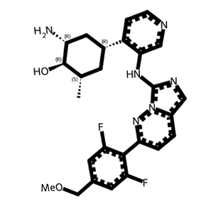 COCc1cc(F)c(-c2ccc3cnc(Nc4cnccc4[C@H]4C[C@@H](N)[C@H](O)[C@@H](C)C4)n3n2)c(F)c1